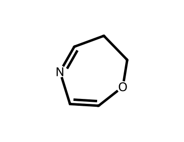 C1=COCCC=N1